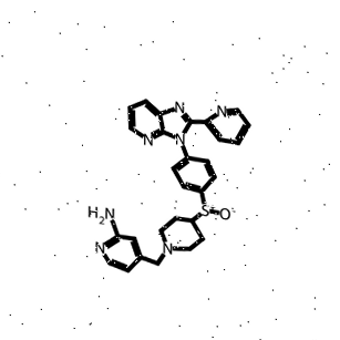 Nc1cc(CN2CCC([S+]([O-])c3ccc(-n4c(-c5ccccn5)nc5cccnc54)cc3)CC2)ccn1